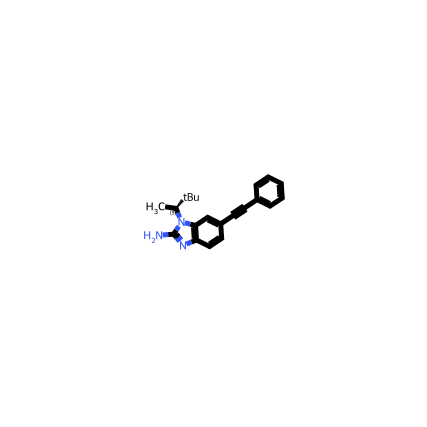 C[C@H](n1c(N)nc2ccc(C#Cc3ccccc3)cc21)C(C)(C)C